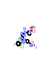 CC(C)OC(=O)N1CCCC(Nc2ncc3nc(Nc4c(Cl)cc(F)cc4Cl)n(C4CCC(C(N)=O)CC4)c3n2)C1